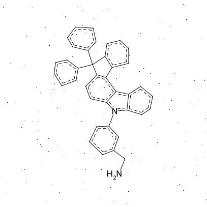 NCc1cccc(-n2c3ccccc3c3c4c(ccc32)C(c2ccccc2)(c2ccccc2)c2ccccc2-4)c1